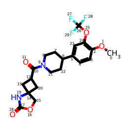 COc1ccc(C2CCN(C(=O)C3CC4(COC(=O)N4)C3)CC2)cc1OC(F)(F)F